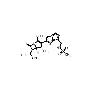 C[C@@H](O)[C@H]1C(=O)N2C(C(=O)O)=C(c3cn4cnc(CNS(C)(=O)=O)c4s3)[C@H](C)[C@H]12